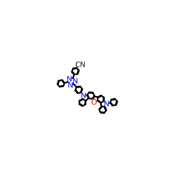 N#Cc1ccc(-c2nc(-c3ccccc3)nc(-c3ccc(-n4c5ccccc5c5c6oc7c(ccc8c7c7ccccc7n8-c7ccccc7)c6ccc54)cc3)n2)cc1